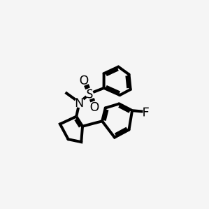 CN(C1=C(c2ccc(F)cc2)CCC1)S(=O)(=O)c1ccccc1